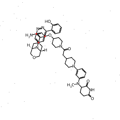 CN(c1cccc(N2CCC(CC(=O)N3CCC(Oc4cccc(N5[C@H]6COC[C@H]5CN(c5cc(-c7ccccc7O)nnc5N)C6)c4)CC3)CC2)c1)C1CCC(=O)NC1=O